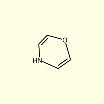 C1=COC=CN1